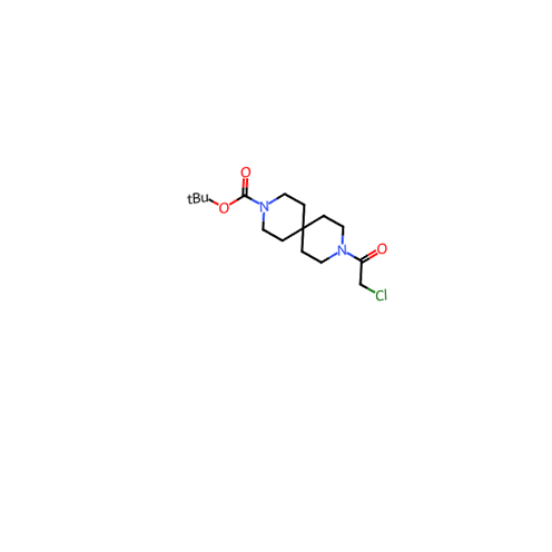 CC(C)(C)OC(=O)N1CCC2(CCN(C(=O)CCl)CC2)CC1